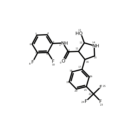 O=C(Nc1cccc(F)c1F)C1C(O)NCC1c1cccc(C(F)(F)F)c1